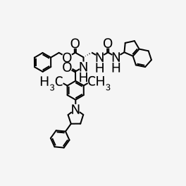 Cc1cc(N2CCC(c3ccccc3)C2)cc(C)c1C(=O)N[C@@H](CNC(=O)NC1CCC2=C1C=CCC2)C(=O)OCc1ccccc1